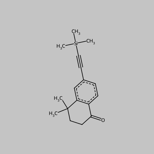 CC1(C)CCC(=O)c2ccc(C#C[Si](C)(C)C)cc21